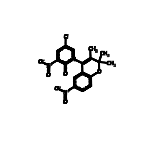 CC1=C(n2cc(Cl)cc([N+](=O)[O-])c2=O)c2cc([N+](=O)[O-])ccc2OC1(C)C